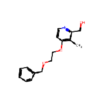 Cc1c(OCCOCc2ccccc2)ccnc1CO